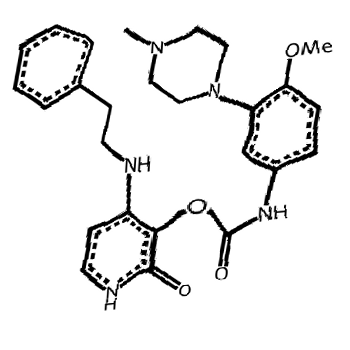 COc1ccc(NC(=O)Oc2c(NCCc3ccccc3)cc[nH]c2=O)cc1N1CCN(C)CC1